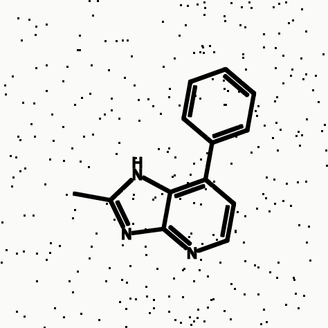 Cc1nc2nccc(-c3ccccc3)c2[nH]1